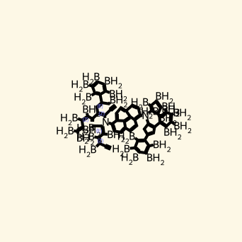 BC/C(=C\C(C(=C)/C(B)=C(/B)C(B)=C(B)B)=C(/C#C)N(/C(CB)=C(B)/C(B)=C(/B)C#C)c1ccc2ccc3c(N(C4=C(c5c(B)c(B)c(B)c(B)c5B)C=C(c5c(B)c(B)c(B)c(B)c5B)C4)C4=C(B)C(B)=C(B)C4B)ccc4ccc1c2c43)c1c(B)c(B)c(B)c(B)c1B